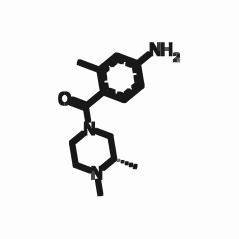 Cc1cc(N)ccc1C(=O)N1CCN(C)[C@@H](C)C1